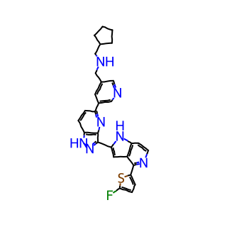 Fc1ccc(-c2nccc3[nH]c(-c4n[nH]c5ccc(-c6cncc(CNCC7CCCC7)c6)nc45)cc23)s1